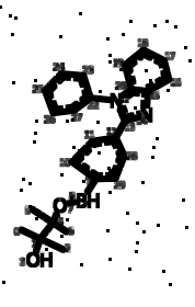 CC(C)(O)C(C)(C)OBc1ccc(-c2nc3ccccc3n2-c2ccccc2)cc1